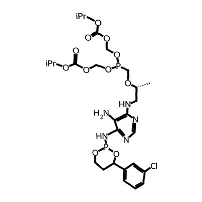 CC(C)OC(=O)OCOP(CO[C@H](C)CNc1ncnc(NP2OCCC(c3cccc(Cl)c3)O2)c1N)OCOC(=O)OC(C)C